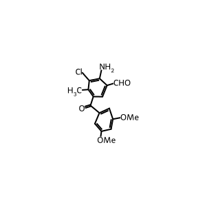 COc1cc(OC)cc(C(=O)c2cc(C=O)c(N)c(Cl)c2C)c1